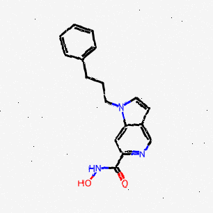 O=C(NO)c1cc2c(ccn2CCCc2ccccc2)cn1